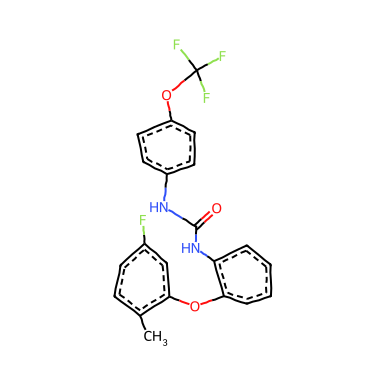 Cc1ccc(F)cc1Oc1ccccc1NC(=O)Nc1ccc(OC(F)(F)F)cc1